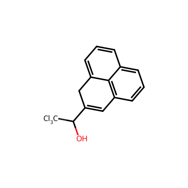 OC(C1=Cc2cccc3cccc(c23)C1)C(Cl)(Cl)Cl